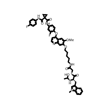 COc1cc2c(Oc3ccc(NC(=O)C4(C(=O)Nc5ccc(F)cc5)CC4)cc3F)ccnc2cc1OCCCCCNC(=O)CSC(=O)[C@@H](Cc1cn(C)c2ccccc12)NC(C)O